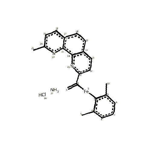 C=[C]([Fe][c]1c(C)cccc1C)c1ccc2ccc3ccc(C)nc3c2n1.Cl.N